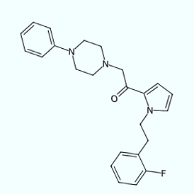 O=C(CN1CCN(c2ccccc2)CC1)c1cccn1CCc1ccccc1F